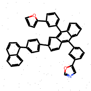 c1cc(-c2cnco2)cc(-c2c3ccccc3c(-c3cccc(-c4ccco4)c3)c3cc(-c4ccc(-c5cccc6ccccc56)cc4)ccc23)c1